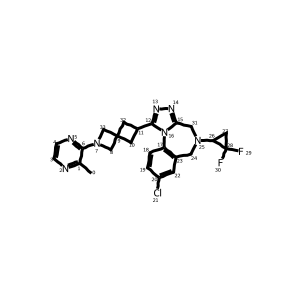 Cc1nccnc1N1CC2(CC(c3nnc4n3-c3ccc(Cl)cc3CN(C3CC3(F)F)C4)C2)C1